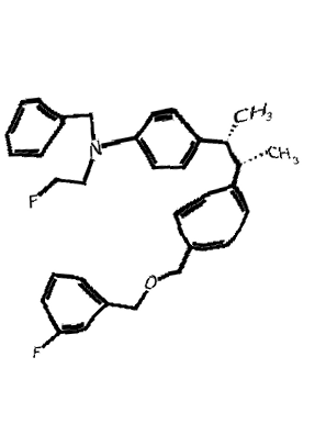 C[C@H](c1ccc(COCc2cccc(F)c2)cc1)[C@@H](C)c1ccc(N(CCF)Cc2ccccc2)cc1